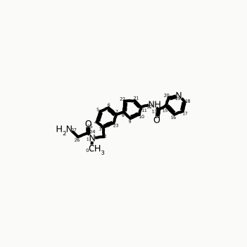 CN(Cc1cccc(-c2ccc(NC(=O)c3cccnc3)cc2)c1)C(=O)CN